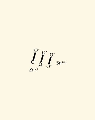 [O-][O-].[O-][O-].[O-][O-].[Sn+4].[Zn+2]